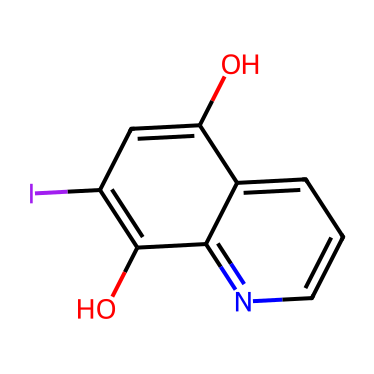 Oc1cc(I)c(O)c2ncccc12